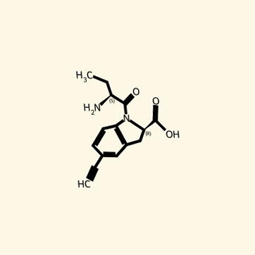 C#Cc1ccc2c(c1)C[C@H](C(=O)O)N2C(=O)[C@@H](N)CC